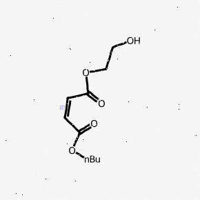 CCCCOC(=O)/C=C\C(=O)OCCO